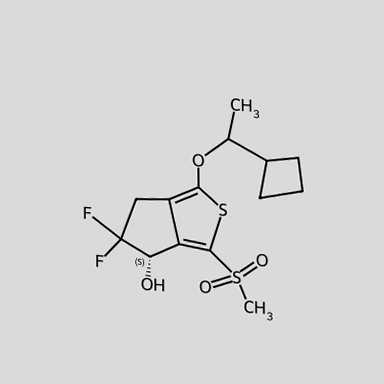 CC(Oc1sc(S(C)(=O)=O)c2c1CC(F)(F)[C@H]2O)C1CCC1